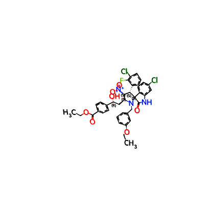 CCOC(=O)c1ccc([C@H](O)C[C@H]2[C@@H]([N+](=O)[O-])[C@H](c3cccc(Cl)c3F)[C@]3(C(=O)Nc4cc(Cl)ccc43)N2Cc2cccc(OCC)c2)cc1